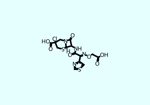 O=C(O)CON=C(C(=O)NC1C(=O)N2CC(Cl)(C(=O)O)CS[C@H]12)c1cscn1